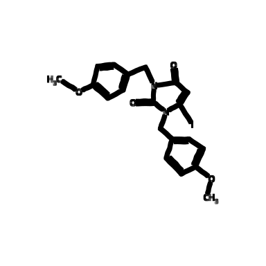 COc1ccc(Cn2c(I)cc(=O)n(Cc3ccc(OC)cc3)c2=O)cc1